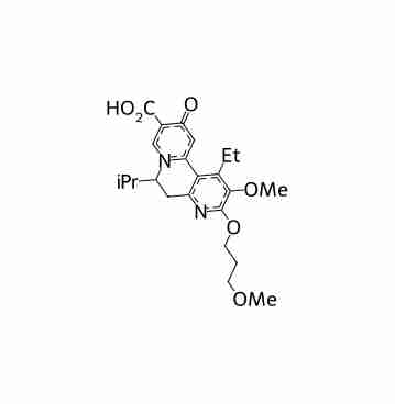 CCc1c(OC)c(OCCCOC)nc2c1-c1cc(=O)c(C(=O)O)cn1C(C(C)C)C2